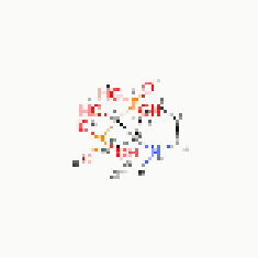 O=P(O)(O)C(O)(C12CCCCN1CCC2)P(=O)(O)O